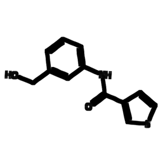 O=C(Nc1cccc(CO)c1)c1ccsc1